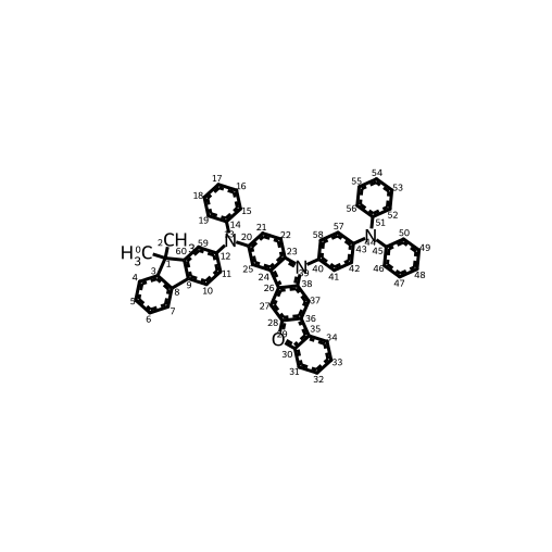 CC1(C)c2ccccc2-c2ccc(N(c3ccccc3)c3ccc4c(c3)c3cc5oc6ccccc6c5cc3n4-c3ccc(N(c4ccccc4)c4ccccc4)cc3)cc21